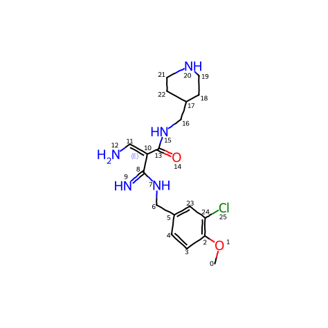 COc1ccc(CNC(=N)/C(=C\N)C(=O)NCC2CCNCC2)cc1Cl